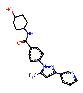 O=C(NC1CCC(O)CC1)c1ccc(-n2nc(-c3cccnc3)cc2C(F)(F)F)cc1